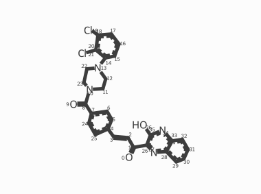 O=C(C=Cc1ccc(C(=O)N2CCN(c3cccc(Cl)c3Cl)CC2)cc1)c1nc2ccccc2nc1O